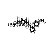 Cc1cc(NC(=O)C(=O)N2CCCC[C@H]2C2CCC(N)CC2)cnc1NC(=O)OC(C)(C)C